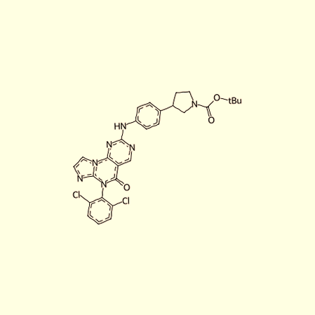 CC(C)(C)OC(=O)N1CCC(c2ccc(Nc3ncc4c(=O)n(-c5c(Cl)cccc5Cl)c5nccn5c4n3)cc2)C1